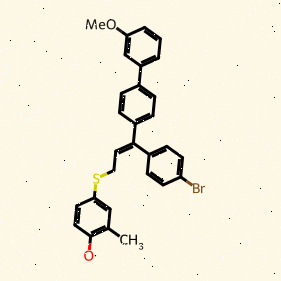 COc1cccc(-c2ccc(C(=CCSc3ccc([O])c(C)c3)c3ccc(Br)cc3)cc2)c1